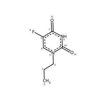 CCCn1cc(F)c(=O)[nH]c1=O